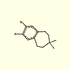 CC(=O)c1cc2c(cc1Br)CCC(C)(C)CC2